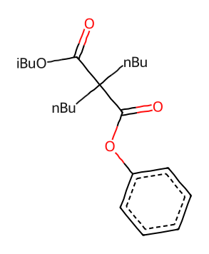 CCCCC(CCCC)(C(=O)OCC(C)C)C(=O)Oc1ccccc1